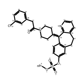 CCCOS(=O)(=O)Oc1ccc2c(c1)CCc1cccnc1C2=C1CCN(C(=O)Cc2cccc(Cl)c2)CC1